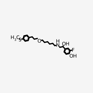 CSc1ccc(CCCOCCCCCCNCC(O)c2ccc(O)c(F)c2)cc1